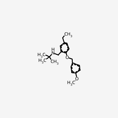 CCc1ccc(OCc2ccc(OC)cc2)c(CNC(C)(C)C)c1